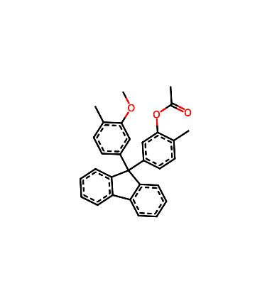 COc1cc(C2(c3ccc(C)c(OC(C)=O)c3)c3ccccc3-c3ccccc32)ccc1C